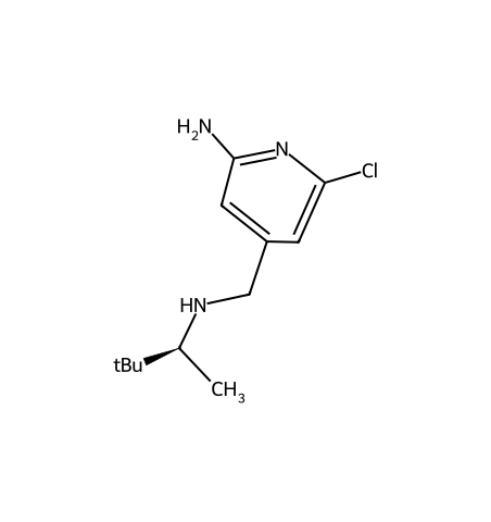 C[C@H](NCc1cc(N)nc(Cl)c1)C(C)(C)C